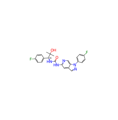 CC(C)(O)[C@@H](NC(=O)Nc1cc2cnn(-c3ccc(F)cc3)c2cn1)c1ccc(F)cc1